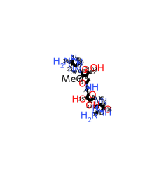 CO[C@@H]1[C@H](CC(=O)NC[C@H]2O[C@@H](n3cnc4c(=O)[nH]c(N)nc43)[C@H](O)[C@@H]2O)[C@@H](CO)O[C@H]1n1cnc2c(N)ncnc21